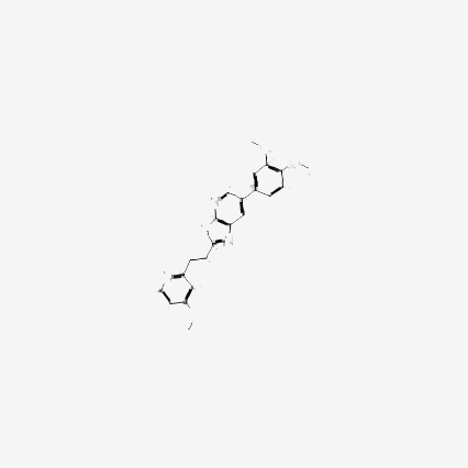 COc1ccnc(CCc2nc3cc(-c4ccc(OC)c(OC)c4)cnc3[nH]2)c1